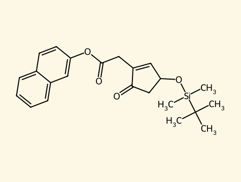 CC(C)(C)[Si](C)(C)OC1C=C(CC(=O)Oc2ccc3ccccc3c2)C(=O)C1